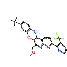 COCc1nc2nc(-c3ncccc3C(F)(F)F)ccc2c2c1Oc1cc(C(C)(C)C)ccc1N2